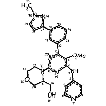 COc1c(Nc2ccncc2)nc(N2CCOCC2CO)nc1-c1cccc(-c2ccn(C)n2)c1